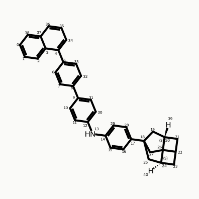 c1ccc2c(-c3ccc(-c4ccc(Nc5ccc(C67C[C@@H]8CC9C[C@@H](C6)C98C7)cc5)cc4)cc3)cccc2c1